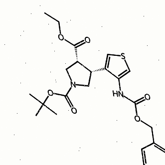 CCOC(=O)[C@H]1CN(C(=O)OC(C)(C)C)C[C@H]1c1cscc1NC(=O)OCc1ccccc1